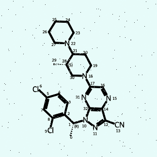 C[C@H](c1ccc(Cl)cc1Cl)n1nc(C#N)c2ncc(N3CCC(N4CCCCC4)[C@@H](C)C3)nc21